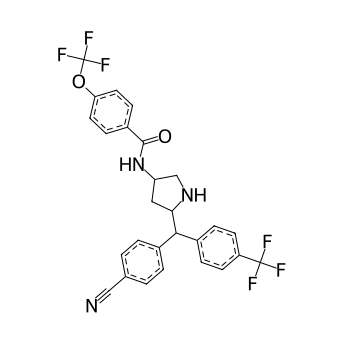 N#Cc1ccc(C(c2ccc(C(F)(F)F)cc2)C2CC(NC(=O)c3ccc(OC(F)(F)F)cc3)CN2)cc1